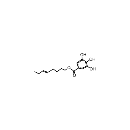 CCC=CCCCCOC(=O)c1cc(O)c(O)c(O)c1